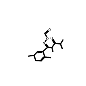 CC1=CCC(C)C=C1/C(=N/OC=O)C(C)C(=O)C(C)C